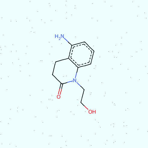 Nc1cccc2c1CCC(=O)N2CCO